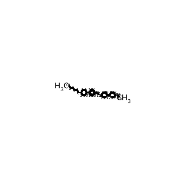 CCCCCCC[C@H]1CC[C@H](c2ccc(CC[C@H]3CC[C@H]([C@H]4CC[C@H](CC)CC4)CC3)cc2)CC1